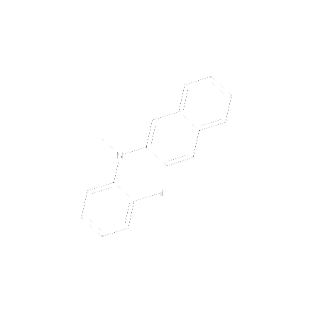 CC(C)c1ccccc1N(C)c1ccc2ccccc2c1